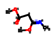 CCOC(=O)C/C(=N/C)OCC